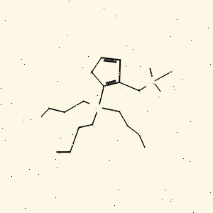 CCC[CH2][Sn]([CH2]CCC)([CH2]CCC)[C]1=C(C[Si](C)(C)C)C=CC1